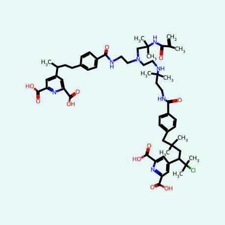 C=C(C)C(=O)NC(C)(C)CN(CCNC(=O)c1ccc(CCC(C)c2cc(C(=O)O)nc(C(=O)O)c2)cc1)CCNC(C)(C)CCNC(=O)c1ccc(CC(C)(C)CC(c2cc(C(=O)O)nc(C(=O)O)c2)C(C)(C)Cl)cc1